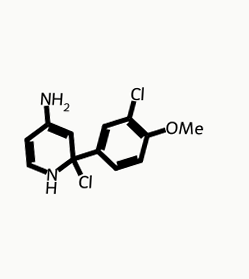 COc1ccc(C2(Cl)C=C(N)C=CN2)cc1Cl